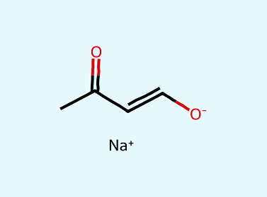 CC(=O)C=C[O-].[Na+]